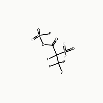 O=C(OS(=O)(=O)F)C(F)(C(F)(F)F)S(=O)(=O)F